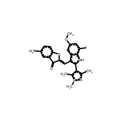 COc1cc(F)c2[nH]c(-c3c(C)nn(C)c3C)c(/C=C3\Oc4ccc(N)cc4C3=O)c2c1